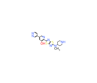 CN(c1nc2sc(-c3ncc(-c4ccnnc4)cc3O)nc2s1)C1CCNCC1